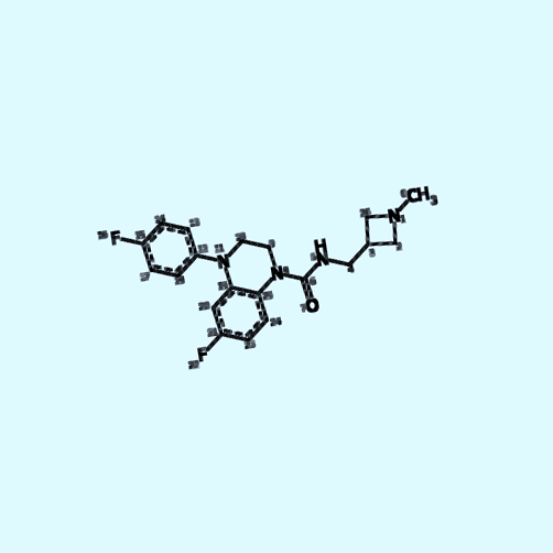 CN1CC(CNC(=O)N2CCN(c3ccc(F)cc3)c3cc(F)ccc32)C1